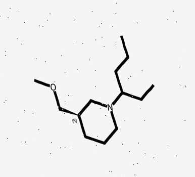 CCCC(CC)N1CCC[C@@H](COC)C1